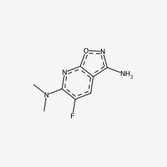 CN(C)c1nc2onc(N)c2cc1F